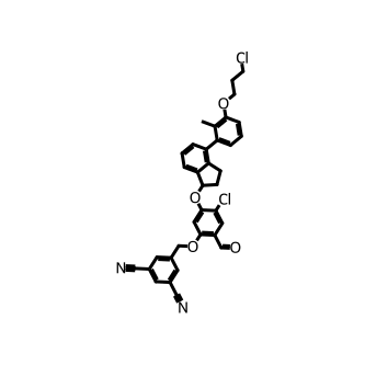 Cc1c(OCCCCl)cccc1-c1cccc2c1CCC2Oc1cc(OCc2cc(C#N)cc(C#N)c2)c(C=O)cc1Cl